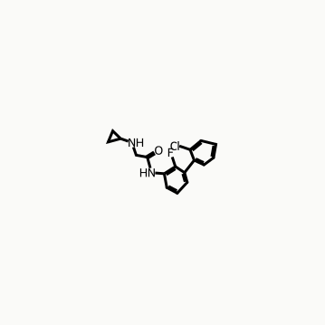 O=C(CNC1CC1)Nc1cccc(-c2ccccc2Cl)c1F